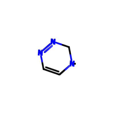 C1=CN=NC[N]1